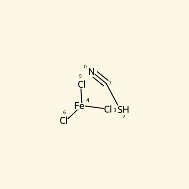 N#CS.[Cl][Fe]([Cl])[Cl]